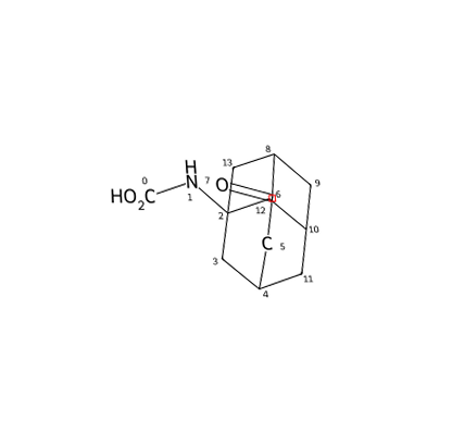 O=C(O)NC12CC3CC(=O)C(CC(C3)C1)C2